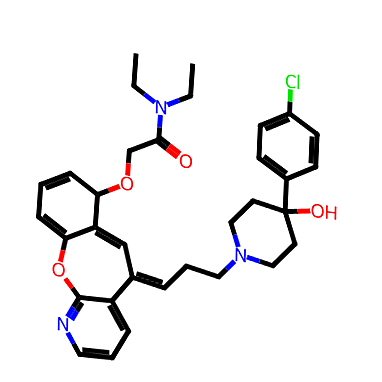 CCN(CC)C(=O)COC1C=CC=C2Oc3ncccc3C(=CCCN3CCC(O)(c4ccc(Cl)cc4)CC3)C=C21